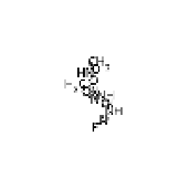 C=CC(=O)Nc1cccc(-c2c(C)ccc3cnc(Nc4ccc(NC5CN(CCF)C5)nc4)nc23)c1